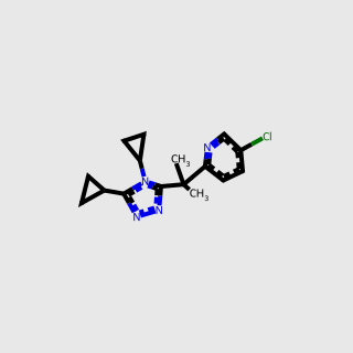 CC(C)(c1ccc(Cl)cn1)c1nnc(C2CC2)n1C1CC1